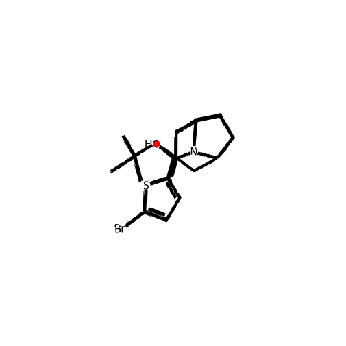 CC(C)(C)OC(=O)N1C2CCC1CC(O)(c1ccc(Br)s1)C2